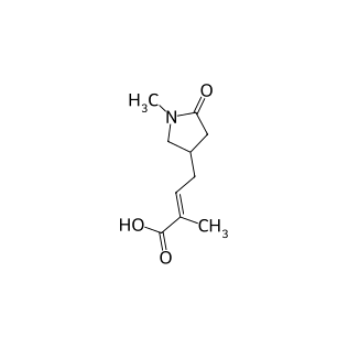 C/C(=C\CC1CC(=O)N(C)C1)C(=O)O